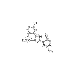 CCOC(=O)c1cc(-c2nc(N)ncc2Cl)[nH]c1-c1cc(Cl)ccc1C